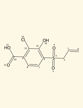 C=CCS(=O)(=O)c1ccc(C(=O)O)c(Cl)c1O